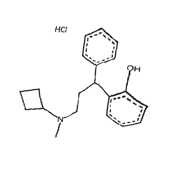 CN(CCC(c1ccccc1)c1ccccc1O)C1CCC1.Cl